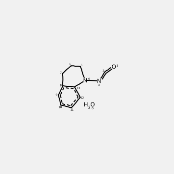 O.O=C=NN1CCCc2ccccc21